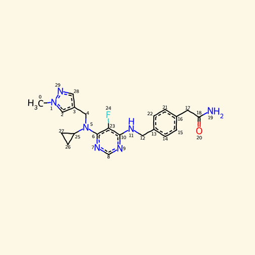 Cn1cc(CN(c2ncnc(NCc3ccc(CC(N)=O)cc3)c2F)C2CC2)cn1